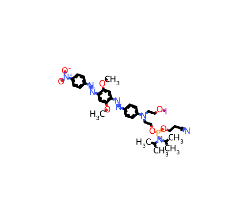 COc1cc(/N=N/c2ccc([N+](=O)[O-])cc2)c(OC)cc1/N=N/c1ccc(N(CCOI)CCOP(OCCC#N)N(C(C)C)C(C)C)cc1